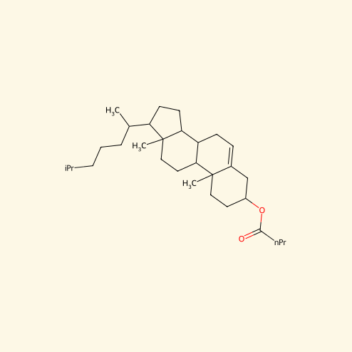 CCCC(=O)OC1CCC2(C)C(=CCC3C2CCC2(C)C(C(C)CCCC(C)C)CCC32)C1